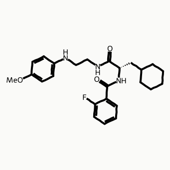 COc1ccc(NCCNC(=O)[C@H](CC2CCCCC2)NC(=O)c2ccccc2F)cc1